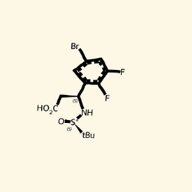 CC(C)(C)[S@@+]([O-])N[C@@H](CC(=O)O)c1cc(Br)cc(F)c1F